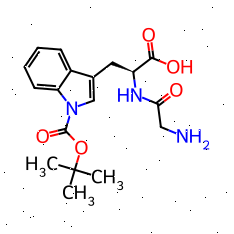 CC(C)(C)OC(=O)n1cc(C[C@H](NC(=O)CN)C(=O)O)c2ccccc21